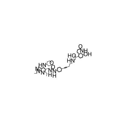 CCc1nc2c(cnn2CC)c(NC2CCOCC2)c1CNC(=O)Nc1ccc(C#CCCCNCC(O)c2ccc(O)c3[nH]c(=O)ccc23)cc1